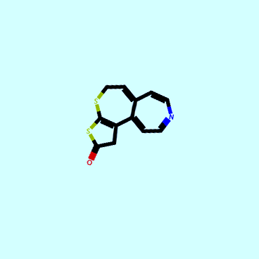 O=C1CC2=C(SCC=C3C=CN=CC=C32)S1